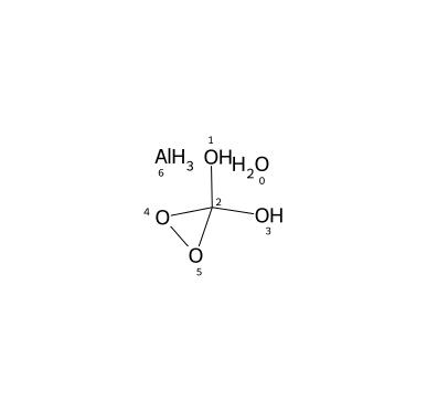 O.OC1(O)OO1.[AlH3]